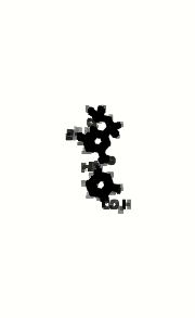 CC1(C)CC(C)(C)c2cc(C(=O)Nc3ccc(C(=O)O)c(F)c3)cc(Br)c2O1